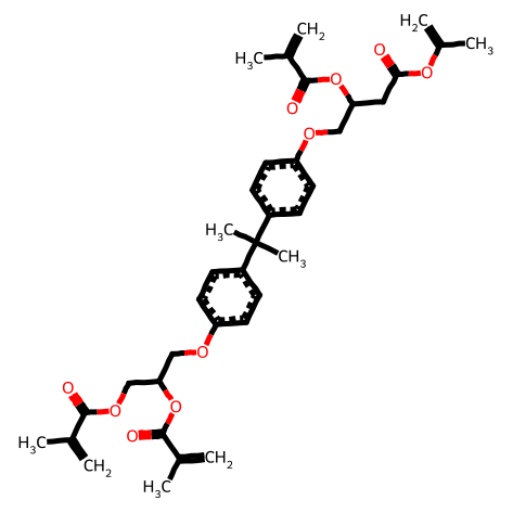 C=C(C)OC(=O)CC(COc1ccc(C(C)(C)c2ccc(OCC(COC(=O)C(=C)C)OC(=O)C(=C)C)cc2)cc1)OC(=O)C(=C)C